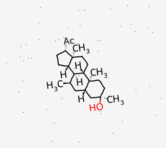 CC(=O)[C@H]1CC[C@H]2[C@@H]3[C@H](C)C[C@H]4C[C@](C)(O)CC[C@]4(C)[C@H]3CC[C@]12C